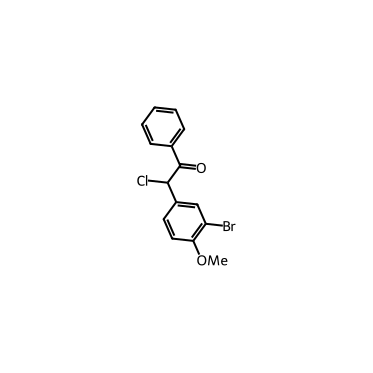 COc1ccc(C(Cl)C(=O)c2ccccc2)cc1Br